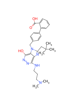 CN(C)CCCNc1nnc(O)c2c1nc(CC(C)(C)C)n2Cc1ccc(-c2ccccc2C(=O)O)cc1